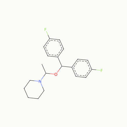 CC(OC(c1ccc(F)cc1)c1ccc(F)cc1)N1CCCCC1